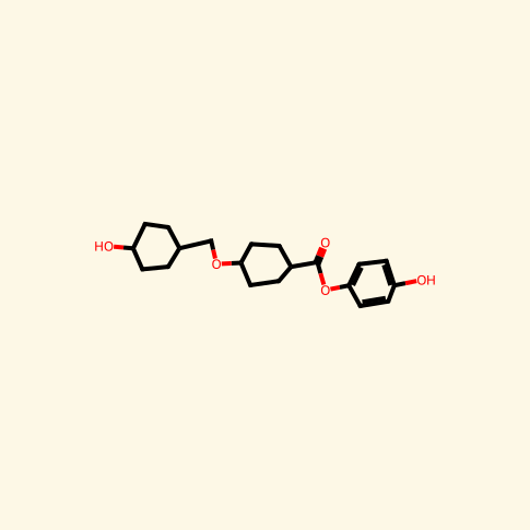 O=C(Oc1ccc(O)cc1)C1CCC(OCC2CCC(O)CC2)CC1